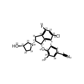 N#Cc1ccc(O[C@H]2c3cc(Cl)cc(F)c3C[C@H]2N2CC[C@@H](O)C2)c(F)c1